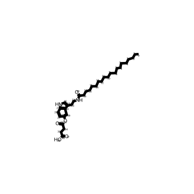 CCCCCCCCCCCCCCCCCCCC(=O)NCCc1c[nH]c2ccc(OC(=O)CCC(=O)O)cc12